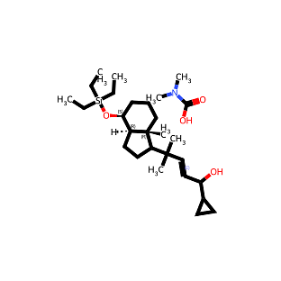 CC[Si](CC)(CC)O[C@H]1CCC[C@]2(C)C(C(C)(C)/C=C/C(O)C3CC3)CC[C@@H]12.CN(C)C(=O)O